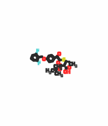 CC[C@H](SCC(=O)c1ccc(OCc2c(F)cccc2F)cc1)[C@H](C(=O)O)C(=O)OC(C)(C)C